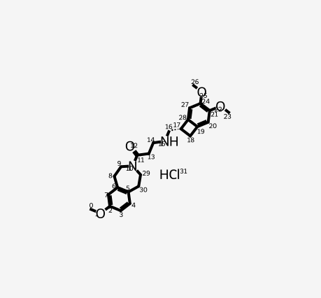 COc1ccc2c(c1)CCN(C(=O)CCNC[C@H]1Cc3cc(OC)c(OC)cc31)CC2.Cl